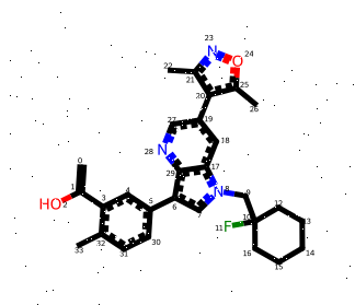 C=C(O)c1cc(-c2cn(CC3(F)CCCCC3)c3cc(-c4c(C)noc4C)cnc23)ccc1C